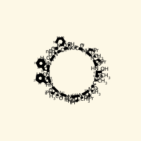 CCCCN1C(=O)[C@H](C)NC(=O)[C@H](Cc2ccccc2)N(C)C(=O)[C@H](Cc2ccccc2)NC(=O)[C@H](CC(C)C)N(C)C(=O)[C@H]([C@@H](C)CC)NC(=O)[C@H](CC(C)C)N(C)C(=O)[C@H](CC(C)C)N(C)C(=O)CN(C)C(=O)[C@H]([C@@H](C)O)NC(=O)[C@H](CC(C)C)N(C)C(=O)[C@H](CC(C)C)NC(=O)CCN(C)C(=O)C[C@H]1C(=O)N1CCCCC1